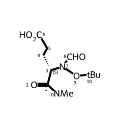 CNC(=O)[C@H](CCC(=O)O)N(C=O)OC(C)(C)C